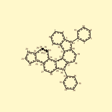 c1ccc(-n2c3ccccc3c3c4c5c6c7cnccc7c7nccn7c6ccc5n(-c5ccccc5)c4ccc32)cc1